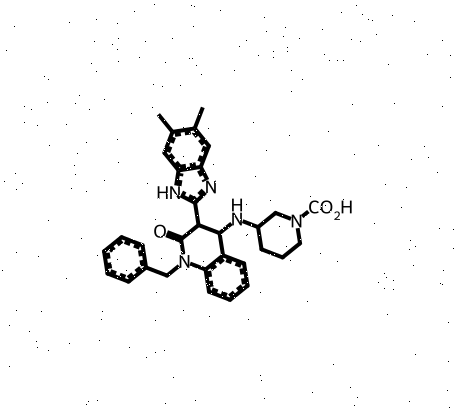 Cc1cc2nc(C3C(=O)N(Cc4ccccc4)c4ccccc4C3NC3CCCN(C(=O)O)C3)[nH]c2cc1C